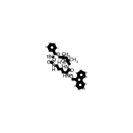 CC(C)(CNC(=O)C(CCCCNC(=O)OC(C)(C)C)NOCC1c2ccccc2-c2ccccc21)CC(C)(C)COCc1ccccc1